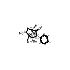 CCCC[C@H]1[C@@H]2[C@H](C#N)C[C@H](C(=O)[C@@H]1c1ccccc1)N2C